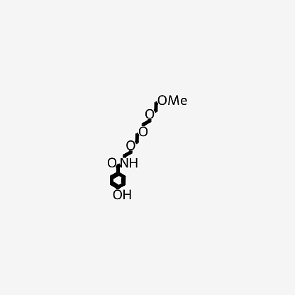 COCCOCCOCCOCCNC(=O)c1ccc(O)cc1